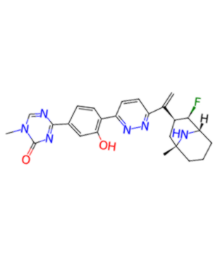 C=C(c1ccc(-c2ccc(-c3ncn(C)c(=O)n3)cc2O)nn1)[C@@H]1C[C@@]2(C)CCC[C@H](N2)[C@@H]1F